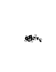 C=CC(=O)N1CC(NC(=O)Cn2c(C)c3c4c(c(Br)cc(C)c42)[C@@H]2c4cccc(OC)c4C[C@@H](C)N2C3=O)C1